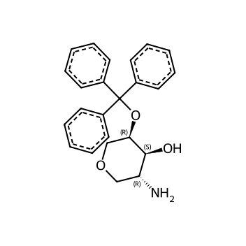 N[C@@H]1COC[C@@H](OC(c2ccccc2)(c2ccccc2)c2ccccc2)[C@H]1O